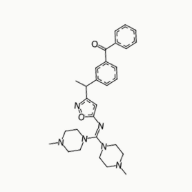 CC(c1cccc(C(=O)c2ccccc2)c1)c1cc(N=C(N2CCN(C)CC2)N2CCN(C)CC2)on1